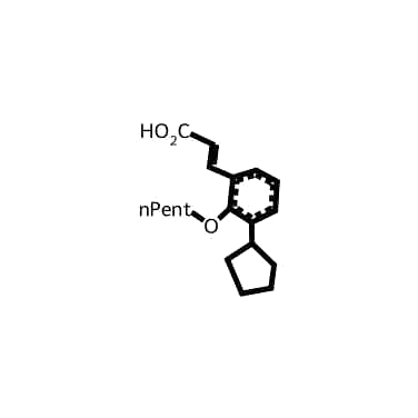 CCCCCOc1c(C=CC(=O)O)cccc1C1CCCC1